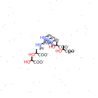 CC(C)NC(C)C.CC(C)NC(C)C.CC(C)NC(C)C.CC(C)NC(C)C.CC(O)C(=O)[O-].CC(O)C(=O)[O-].CC(O)C(=O)[O-].CC(O)C(=O)[O-].[Ti+4]